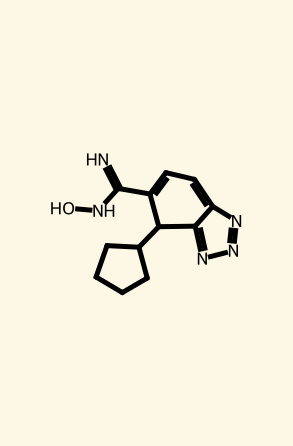 N=C(NO)C1=CC=C2N=NN=C2C1C1CCCC1